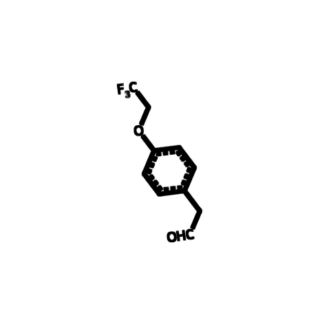 O=CCc1ccc(OCC(F)(F)F)cc1